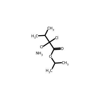 CC(C)OC(=O)C(Cl)(Cl)C(C)C.N